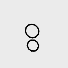 C1CCCCCCCCC1.C1CCCCCCCCCCC1